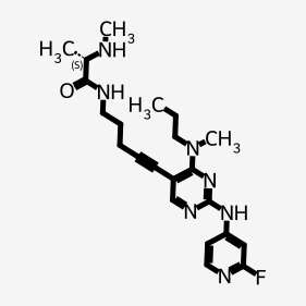 CCCN(C)c1nc(Nc2ccnc(F)c2)ncc1C#CCCCNC(=O)[C@H](C)NC